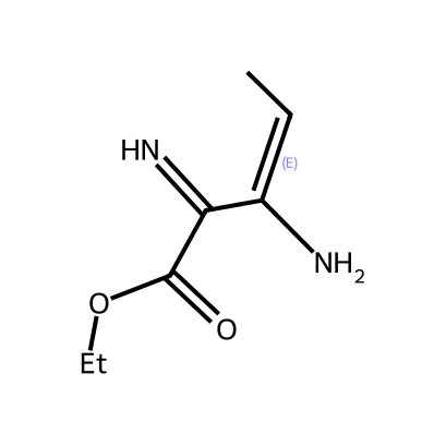 C/C=C(/N)C(=N)C(=O)OCC